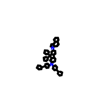 C1=CCC(c2ccc(N(c3ccc(-c4ccccc4)cc3)c3ccc4c(c3)C(c3ccccc3)(c3ccccc3)c3cc(-n5ccc6c7ccccc7ccc65)ccc3-4)cc2)C=C1